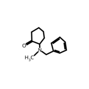 CN(Cc1ccccc1)C1CCCCC1=O